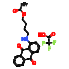 CCCC(=O)OCCCCNc1cccc2c1C(=O)c1ccccc1C2=O.O=C(O)C(F)(F)F